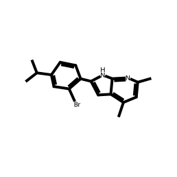 Cc1cc(C)c2cc(-c3ccc(C(C)C)cc3Br)[nH]c2n1